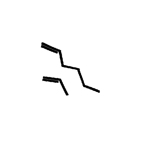 C=CC.C=CCCCC